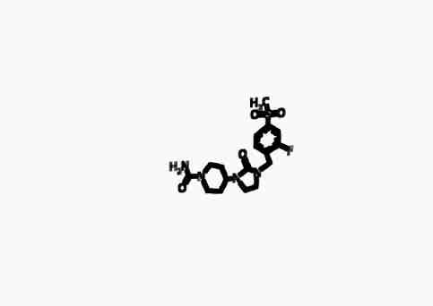 CS(=O)(=O)c1ccc(CN2CCN(C3CCN(C(N)=O)CC3)C2=O)c(F)c1